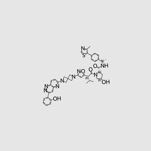 Cc1ncsc1-c1ccc([C@H](C)NC(=O)[C@@H]2C[C@@H](O)CN2C(=O)[C@@H](c2cc(N3CC4(C3)CN(c3ccc5nnc(-c6ccccc6O)cc5n3)C4)no2)C(C)C)cc1